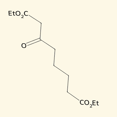 CCOC(=O)CCCCC(=O)CC(=O)OCC